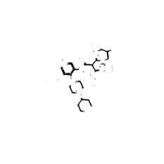 Cc1cncc(NC(=O)C2C(N)NN3CC(F)CNC23)c1N1CCN(C2CCOCC2)CC1